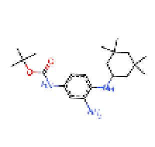 CC1(C)CC(Nc2ccc(NC(=O)OC(C)(C)C)cc2N)CC(C)(C)C1